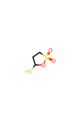 O=S1(=O)CCC(S)O1